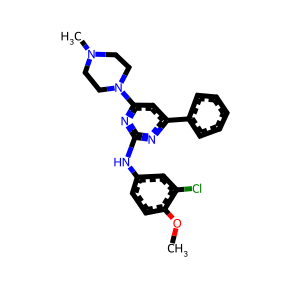 COc1ccc(Nc2nc(-c3ccccc3)cc(N3CCN(C)CC3)n2)cc1Cl